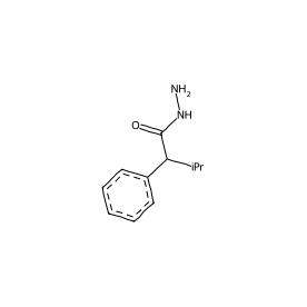 CC(C)C(C(=O)NN)c1ccccc1